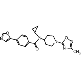 Cc1noc(N2CCC(N(C(=O)c3ccc(-c4cnco4)cc3)C3CC3)CC2)n1